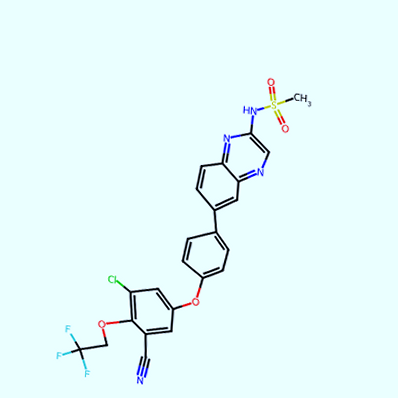 CS(=O)(=O)Nc1cnc2cc(-c3ccc(Oc4cc(Cl)c(OCC(F)(F)F)c(C#N)c4)cc3)ccc2n1